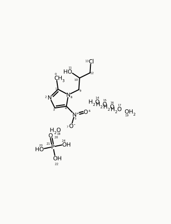 Cc1ncc([N+](=O)[O-])n1CC(O)CCl.O.O.O.O.O.O.O=P(O)(O)O